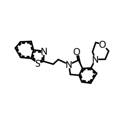 O=C1c2c(cccc2N2CCOCC2)CN1CCc1nc2ccccc2s1